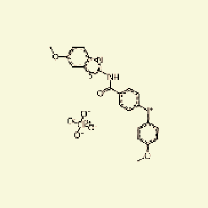 COc1ccc([I+]c2ccc(C(=O)Nc3nc4ccc(OC)cc4s3)cc2)cc1.[O-][Cl+3]([O-])([O-])[O-]